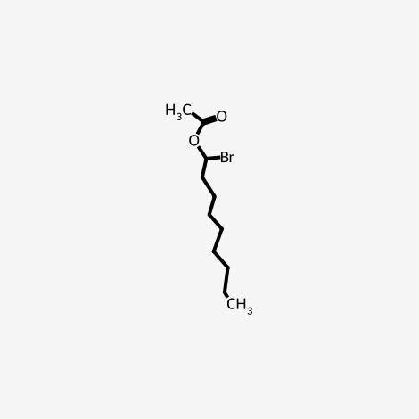 CCCCCCCCC(Br)OC(C)=O